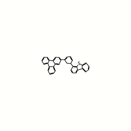 C1=CC(c2cccc3c2sc2ccccc23)CC(c2ccc3c4ccccc4c4ccccc4c3c2)=C1